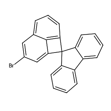 Brc1cc2c3c(cccc3c1)C21c2ccccc2-c2ccccc21